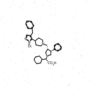 CCn1ncc(Cc2ccccc2)c1C1CCN(C[C@H]2CN([C@@H](C(=O)O)C3CCCCC3)C[C@@H]2c2ccccc2)CC1